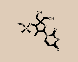 CC1C(n2ccc(=O)[nH]c2=O)OC(CO)(CO)C1O[Si](C)(C)C(C)(C)C